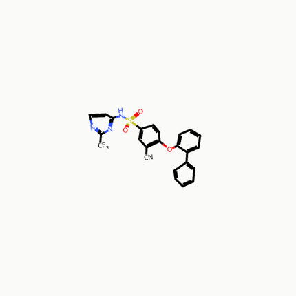 N#Cc1cc(S(=O)(=O)Nc2ccnc(C(F)(F)F)n2)ccc1Oc1ccccc1-c1ccccc1